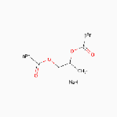 [CH2]C(COC(=O)CCC)OC(=O)CCC.[NaH]